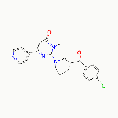 Cn1c(N2CCCC(C(=O)c3ccc(Cl)cc3)C2)nc(-c2ccncc2)cc1=O